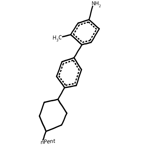 CCCCCC1CCC(c2ccc(-c3ccc(N)cc3C)cc2)CC1